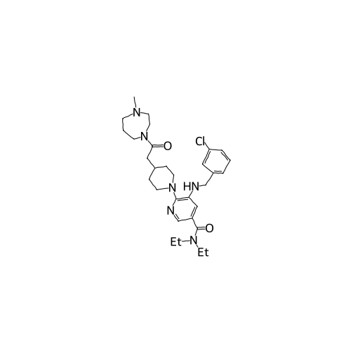 CCN(CC)C(=O)c1cnc(N2CCC(CC(=O)N3CCCN(C)CC3)CC2)c(NCc2cccc(Cl)c2)c1